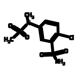 CN(c1ccc(Cl)c(S(N)(=O)=O)c1)S(C)(=O)=O